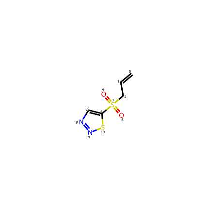 C=CCS(=O)(=O)c1[c]nns1